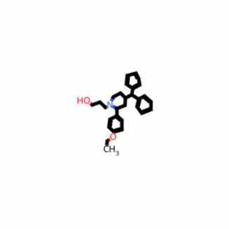 CCOc1ccc(C2CC(C(c3ccccc3)c3ccccc3)CCN2CCCO)cc1